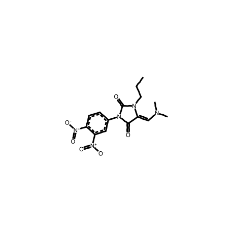 CCCN1C(=O)N(c2ccc([N+](=O)[O-])c([N+](=O)[O-])c2)C(=O)/C1=C/N(C)C